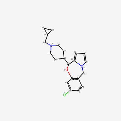 Clc1ccc2c(c1)OC(C1CCN(CC3CC3)CC1)c1cccn1C2